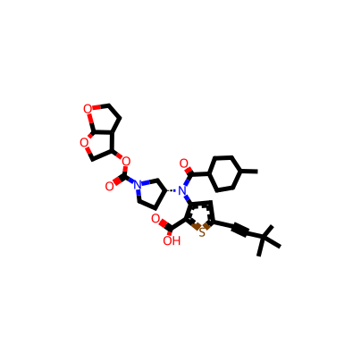 CC1CCC(C(=O)N(c2cc(C#CC(C)(C)C)sc2C(=O)O)[C@@H]2CCN(C(=O)OC3COC4OCCC34)C2)CC1